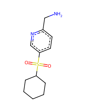 NCc1ccc(S(=O)(=O)C2CCCCC2)cn1